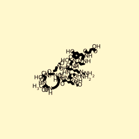 C[C@@H](O)[C@@H]1NC(=O)[C@H](CCCN(O)C=O)NC(=O)[C@@H](NC(=O)[C@H](CCCN(O)C=O)NC(=O)[C@@H](CO)NC(=O)[C@H](CCCN=C(N)N)NC(=O)[C@@H](CO)NC(=O)[C@@H]2CCNc3c(NC(=O)CCC(=O)O)cc4cc(O)c(=O)cc-4n32)CCCCNC(=O)[C@H]([C@@H](C)O)NC1=O